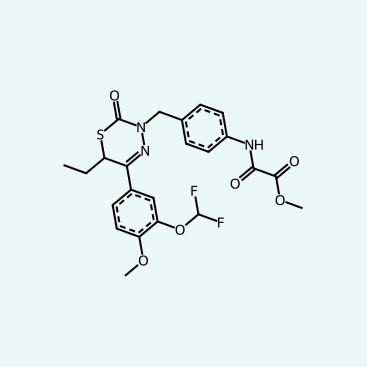 CCC1SC(=O)N(Cc2ccc(NC(=O)C(=O)OC)cc2)N=C1c1ccc(OC)c(OC(F)F)c1